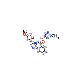 CCOc1cc(-c2nnc3c4ccccc4c(OCc4ncn(C)n4)nn23)on1